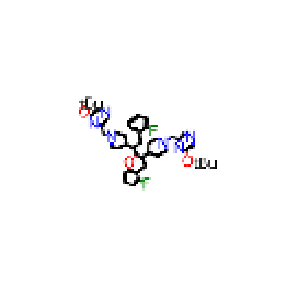 CC(C)(C)Oc1cncc(CN2CCC(C(Cc3ccccc3F)C(=O)C(Cc3ccccc3F)C3CCN(Cc4cncc(OC(C)(C)C)n4)CC3)CC2)n1